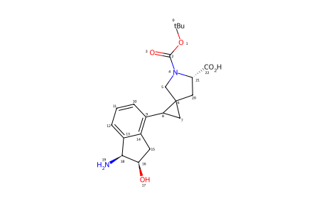 CC(C)(C)OC(=O)N1CC2(CC2c2cccc3c2C[C@@H](O)[C@H]3N)C[C@H]1C(=O)O